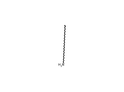 C=CCCCCCCCCCCCCCCCCCCCCCCCCCCCCN